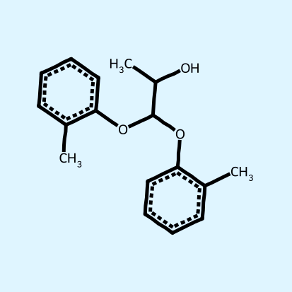 Cc1ccccc1OC(Oc1ccccc1C)C(C)O